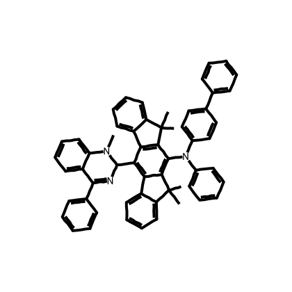 CN1c2ccccc2C(c2ccccc2)=NC1c1c2c(c(N(c3ccccc3)c3ccc(-c4ccccc4)cc3)c3c1-c1ccccc1C3(C)C)C(C)(C)c1ccccc1-2